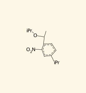 CC(C)OC(C)c1ccc(C(C)C)cc1[N+](=O)[O-]